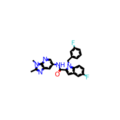 Cc1nc2cc(NC(=O)c3cc4cc(F)ccc4n3Cc3cccc(F)c3)cnc2n1C